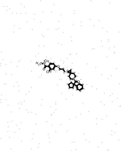 CN(C)C(=O)c1ccc(OCCC[C@@H]2CC23CCN(C(=O)C2(c4ccccc4)CCCC2)CC3)cc1Cl